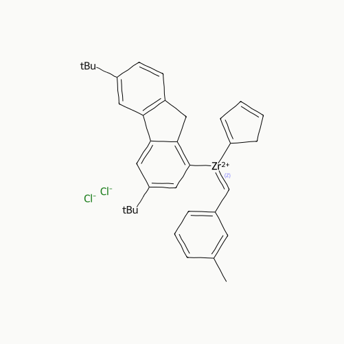 Cc1cccc(/[CH]=[Zr+2](/[C]2=CC=CC2)[c]2cc(C(C)(C)C)cc3c2Cc2ccc(C(C)(C)C)cc2-3)c1.[Cl-].[Cl-]